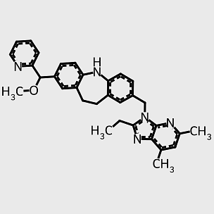 CCc1nc2c(C)cc(C)nc2n1Cc1ccc2c(c1)CCc1cc(C(OC)c3ccccn3)ccc1N2